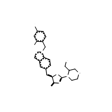 O=C1N=C(N2CCNCC2CO)S/C1=C\c1ccc2c(cnn2Cc2ccc(Cl)cc2C(F)(F)F)c1